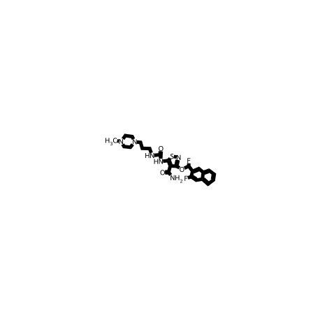 CN1CCN(CCCNC(=O)Nc2snc(OC(F)c3cc4ccccc4cc3F)c2C(N)=O)CC1